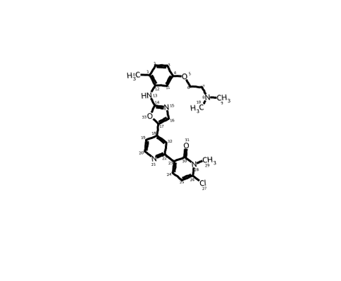 Cc1ccc(OCCN(C)C)cc1Nc1ncc(-c2ccnc(-c3ccc(Cl)n(C)c3=O)c2)o1